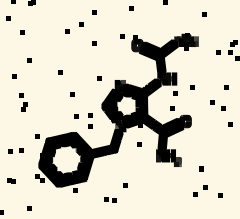 CCCCC(=O)Nc1ncn(Cc2ccccc2)c1C(N)=O